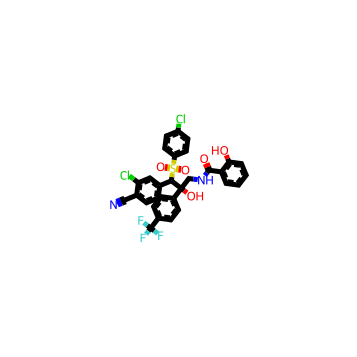 N#Cc1ccc(C(C(O)(CNC(=O)c2ccccc2O)c2ccc(C(F)(F)F)cc2)S(=O)(=O)c2ccc(Cl)cc2)cc1Cl